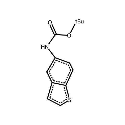 CC(C)(C)OC(=O)Nc1ccc2sccc2c1